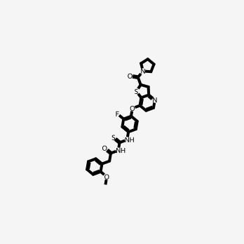 COc1ccccc1CC(=O)NC(=S)Nc1ccc(Oc2ccnc3c2SC(C(=O)N2CCCC2)C3)c(F)c1